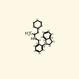 CC(CC1CCCCC1)NCc1ccccc1N1CCc2ccccc21